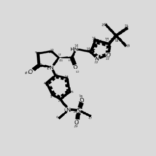 CN(c1ccc(N2C(=O)CC[C@H]2C(=O)Nc2cc(C(C)(C)C)on2)cc1)S(C)(=O)=O